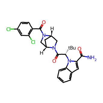 CC(C)(C)[C@@H](C(=O)N1C[C@@H]2C[C@H]1CN2C(=O)c1ccc(Cl)cc1Cl)n1c(C(N)=O)cc2ccccc21